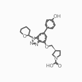 O=C(O)N1CC[C@H](COc2cc(-c3ccc(O)cc3)cc3c2nnn3C2CCCCO2)C1